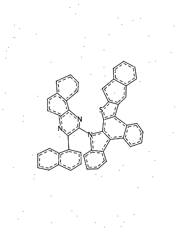 c1ccc2cc3c(cc2c1)sc1c3c2ccccc2c2c3ccccc3n(-c3nc4c(ccc5ccccc54)nc3-c3cccc4ccccc34)c12